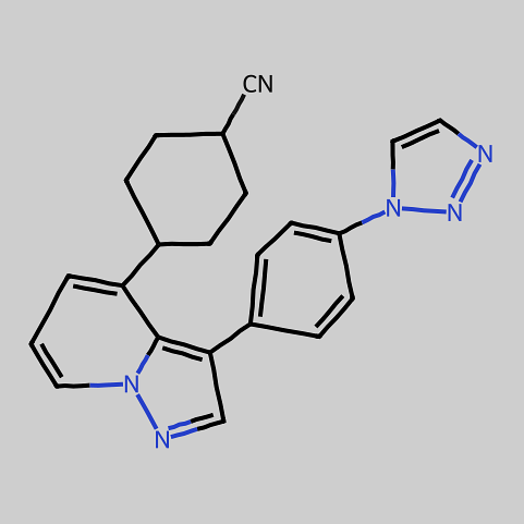 N#CC1CCC(c2cccn3ncc(-c4ccc(-n5ccnn5)cc4)c23)CC1